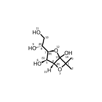 CC1(C)O[C@@H]2[C@@H](O)[C@@H]([C@H](O)CO)OC21O